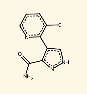 NC(=O)c1n[nH]cc1-c1ncccc1Cl